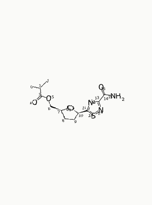 CC(C)C(=O)OC[C@@H]1CC[C@H](c2nc(C(N)=O)ns2)O1